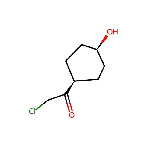 O=C(CCl)[C@H]1CC[C@@H](O)CC1